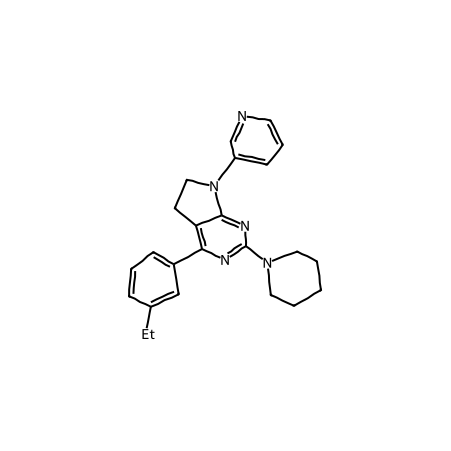 CCc1cccc(-c2nc(N3CCCCC3)nc3c2CCN3c2cccnc2)c1